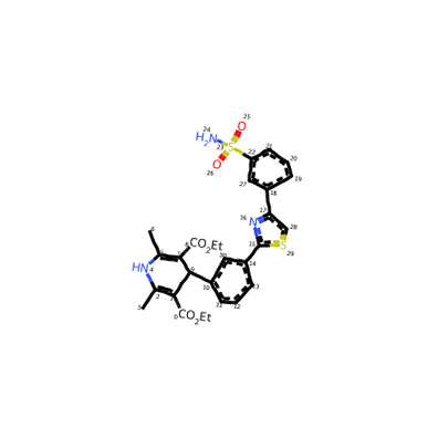 CCOC(=O)C1=C(C)NC(C)=C(C(=O)OCC)C1c1cccc(-c2nc(-c3cccc(S(N)(=O)=O)c3)cs2)c1